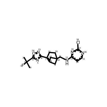 CC(C)(F)c1nc(C2=C3CC(CNc4ccnc(Cl)n4)(CC2)C3)no1